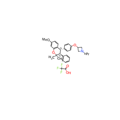 CCCN1CC(Oc2ccc([C@H]3c4ccc(OC)cc4OC(C)(C)[C@@H]3c3ccccc3)cc2)C1.O=C(O)C(F)(F)F